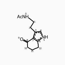 CC(=O)NCCc1c[nH]c2c1C(=O)CCC2